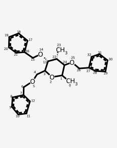 CC1OC(COCc2ccccc2)[C@H](OCc2ccccc2)[C@H](C)C1OCc1ccccc1